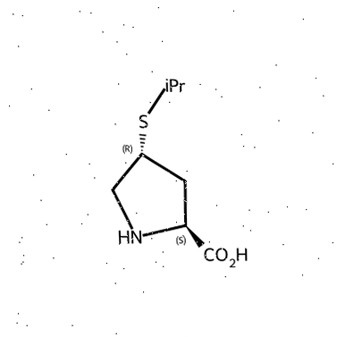 CC(C)S[C@H]1CN[C@H](C(=O)O)C1